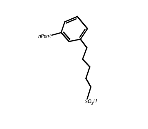 CCCCCc1cccc(CCCCCS(=O)(=O)O)c1